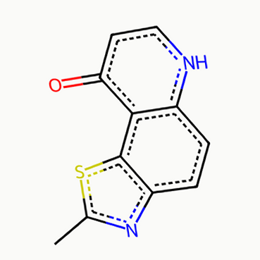 Cc1nc2ccc3[nH]ccc(=O)c3c2s1